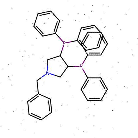 c1ccc(CN2CC(P(c3ccccc3)c3ccccc3)C(P(c3ccccc3)c3ccccc3)C2)cc1